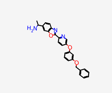 CC(N)c1ccc2nc(-c3ccc(Oc4cccc(OCc5ccccc5)c4)cn3)oc2c1